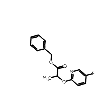 CC(Oc1ccc(F)cn1)C(=O)OCc1ccccc1